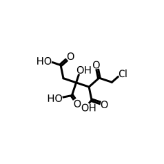 O=C(O)CC(O)(C(=O)O)C(C(=O)O)C(=O)CCl